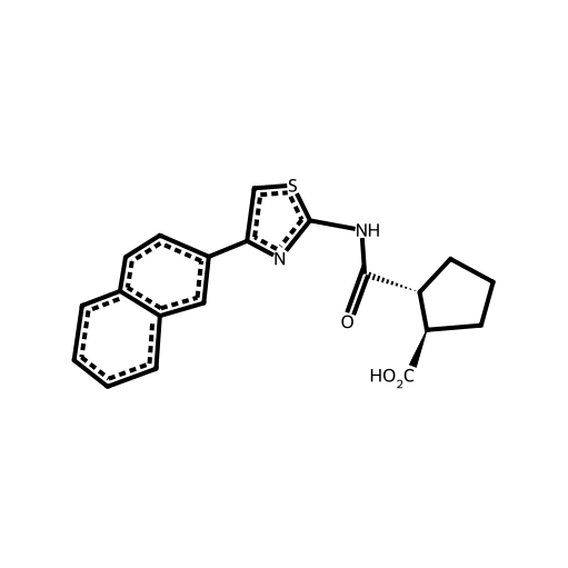 O=C(O)[C@@H]1CCC[C@H]1C(=O)Nc1nc(-c2ccc3ccccc3c2)cs1